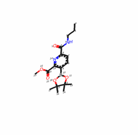 CCCNC(=O)c1ccc(B2OC(C)(C)C(C)(C)O2)c(C(=O)OC)n1